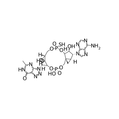 Cc1nc2c(nnn2[C@@H]2O[C@@H]3CO[P@@](=O)(S)O[C@H]4[C@@H](O)[C@H](n5cnc6c(N)ncnc65)[C@H]5C[C@]54COP(=O)(O)O[C@@H]2[C@@H]3O)c(=O)[nH]1